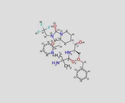 CC(C)(N)C(=O)N[C@H](COCc1ccccc1)C(=O)[C@H]1CCN2C(=O)N(CC(F)(F)F)C(=O)[C@]2(Cc2ccccn2)C1